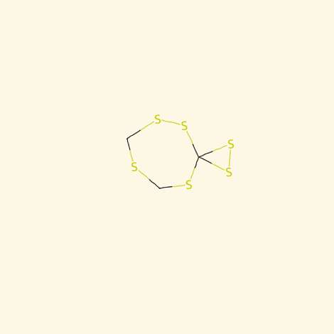 C1SCSC2(SS1)SS2